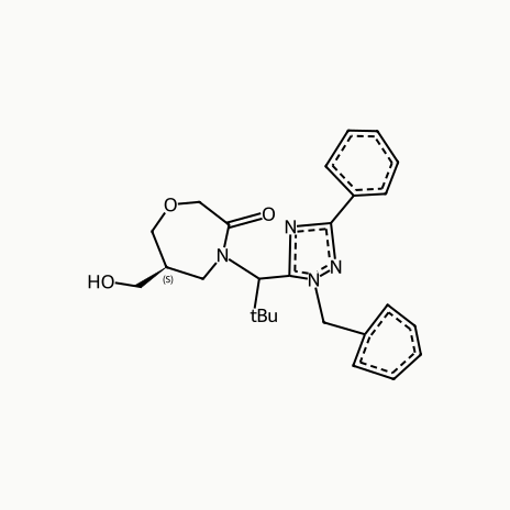 CC(C)(C)C(c1nc(-c2ccccc2)nn1Cc1ccccc1)N1C[C@@H](CO)COCC1=O